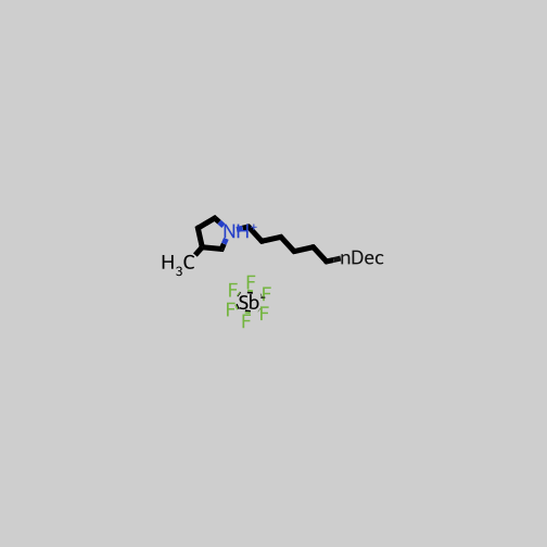 CCCCCCCCCCCCCCCC[NH+]1CCC(C)C1.[F][Sb-]([F])([F])([F])([F])[F]